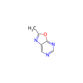 Cc1nc2cncnc2o1